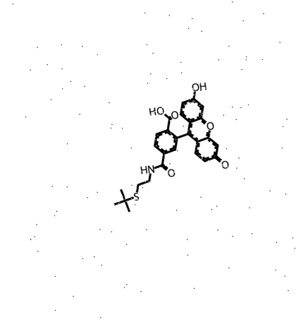 CC(C)(C)SCCNC(=O)c1ccc(C(=O)O)c(-c2c3ccc(=O)cc-3oc3cc(O)ccc23)c1